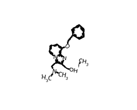 CI.CN(C)Cc1c(CO)nc2c(OCc3ccccc3)cccn12